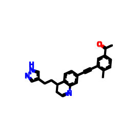 CC(=O)c1ccc(C)c(C#Cc2ccc3c(c2)N=CCC3CCc2cn[nH]c2)c1